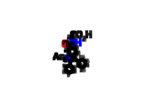 CC(=O)Cn1c(-c2ccccc2)c(C2CCCCC2)c2ccc(C(=O)NCC(=O)O)cc21